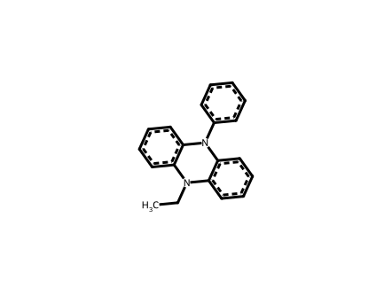 CCN1c2ccccc2N(c2ccccc2)c2ccccc21